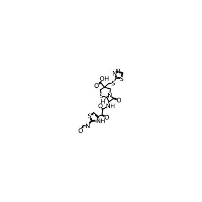 O=CN=c1[nH]c(C(=O)C(=O)NC2C(=O)N3CC(CSc4nncs4)(C(=O)O)CS[C@H]23)cs1